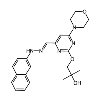 CC(C)(O)COc1nc(C=NNc2ccc3ccccc3c2)cc(N2CCOCC2)n1